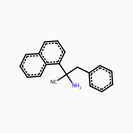 N#CC(N)(Cc1ccccc1)c1cccc2ccccc12